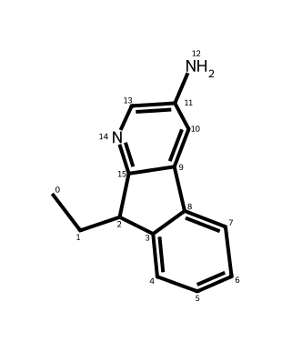 CCC1c2ccccc2-c2cc(N)cnc21